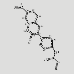 C=CC(=O)Oc1ccc(-c2cc3ccc(OC)cc3oc2=O)cc1